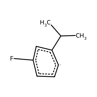 CC(C)c1[c]ccc(F)c1